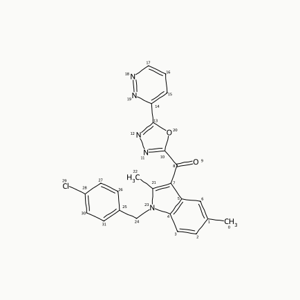 Cc1ccc2c(c1)c(C(=O)c1nnc(-c3cccnn3)o1)c(C)n2Cc1ccc(Cl)cc1